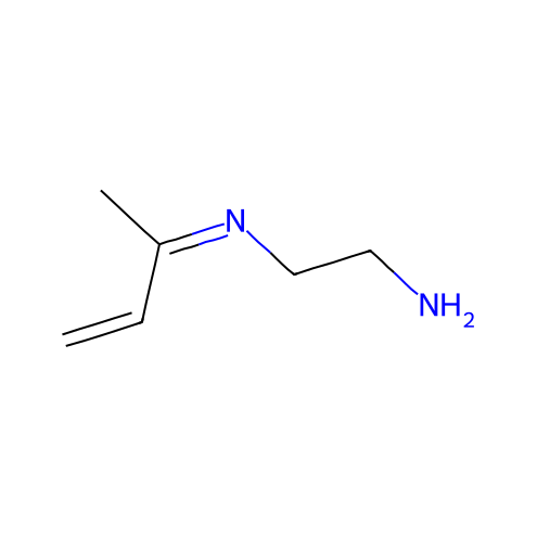 C=C/C(C)=N\CCN